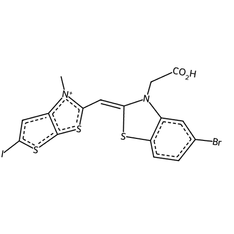 C[n+]1c(/C=C2\Sc3ccc(Br)cc3N2CC(=O)O)sc2sc(I)cc21